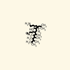 CC(C)CC(C)(CCCCN)C(CO)CC(CCCN=O)C(C)C(C)C(C)C(C)C(C)C(C)C